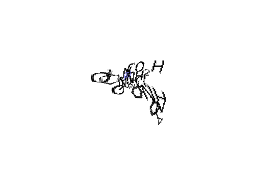 CC1CC(N2C(=O)C[C@@](C)(c3cccc(Nc4ccc(C5CC5)nc4)c3Cl)N/C2=N\C(=O)O)CCO1